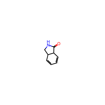 O=C1NCC2C=C[C]=CC12